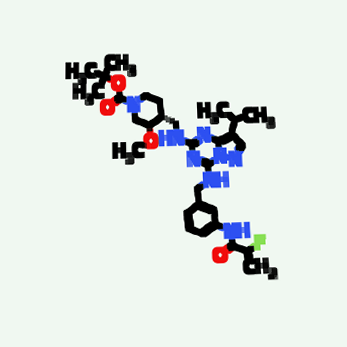 C=C(F)C(=O)Nc1cccc(CNc2nc(NC[C@H]3CCN(C(=O)OC(C)(C)C)C[C@@H]3OC)nc3c(C(C)C)cnn23)c1